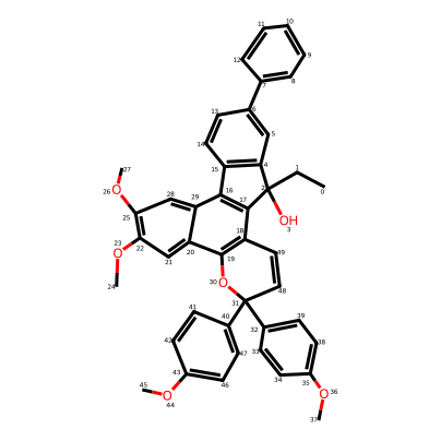 CCC1(O)c2cc(-c3ccccc3)ccc2-c2c1c1c(c3cc(OC)c(OC)cc23)OC(c2ccc(OC)cc2)(c2ccc(OC)cc2)C=C1